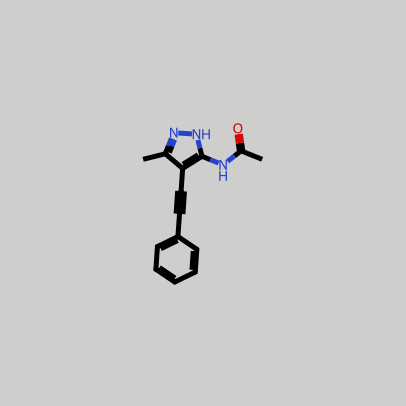 CC(=O)Nc1[nH]nc(C)c1C#Cc1ccccc1